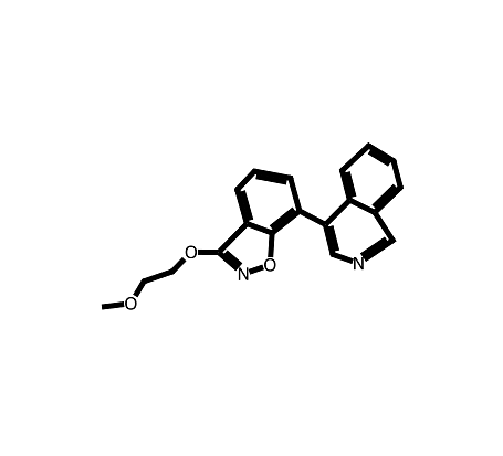 COCCOc1noc2c(-c3cncc4ccccc34)cccc12